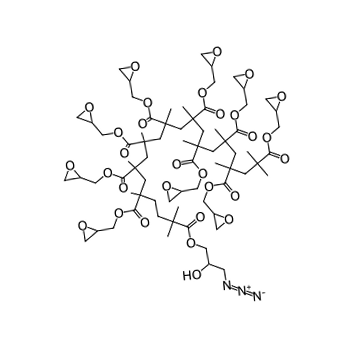 CC(C)(CCC(C)(CC(C)(CC(C)(CC(C)(CC(C)(CC(C)(CC(C)(CC(C)(CC(C)(C)C(=O)OCC1CO1)C(=O)OCC1CO1)C(=O)OCC1CO1)C(=O)OCC1CO1)C(=O)OCC1CO1)C(=O)OCC1CO1)C(=O)OCC1CO1)C(=O)OCC1CO1)C(=O)OCC1CO1)C(=O)OCC(O)CN=[N+]=[N-]